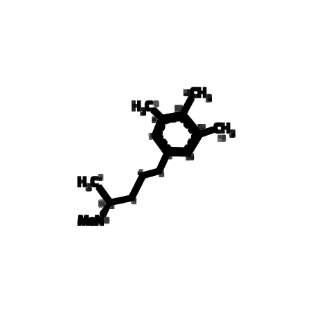 CN[C@@H](C)CCCc1cc(C)c(C)c(C)c1